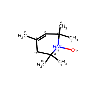 CC1=CC(C)(C)[NH+]([O-])C(C)(C)C1